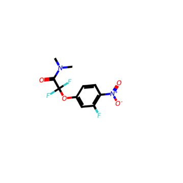 CN(C)C(=O)C(F)(F)Oc1ccc([N+](=O)[O-])c(F)c1